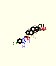 COC[C@]12CC[C@@](C)(O)C[C@@H]1CC[C@H]1[C@@H]3CC[C@H](C(=O)CN4NNc5cc(Cl)ccc54)[C@@]3(C)CC[C@@H]12